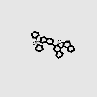 S=P(c1ccccc1)(c1ccccc1)c1ccc2ccc(-c3cc4ccccc4c4c3oc3ccc5ccccc5c34)cc2c1